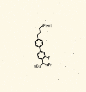 CCCCC(CCC)c1ccc(-c2ccc(CCCC(C)CCC)cc2)cc1F